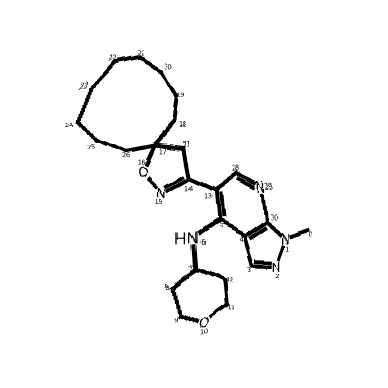 Cn1ncc2c(NC3CCOCC3)c(C3=NOC4(CCCCCCCCC4)C3)cnc21